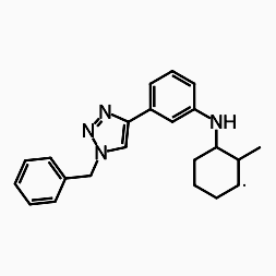 CC1[CH]CCCC1Nc1cccc(-c2cn(Cc3ccccc3)nn2)c1